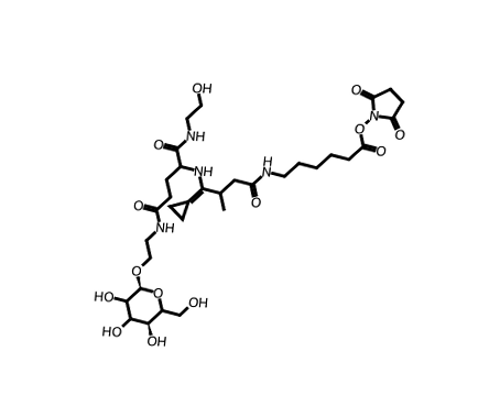 CC(CC(=O)NCCCCCC(=O)ON1C(=O)CCC1=O)C(NC(CCC(=O)NCCO[C@H]1OC(CO)[C@@H](O)C(O)C1O)C(=O)NCCO)=C1CC1